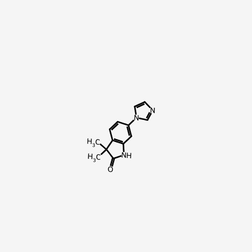 CC1(C)C(=O)Nc2cc(-n3ccnc3)ccc21